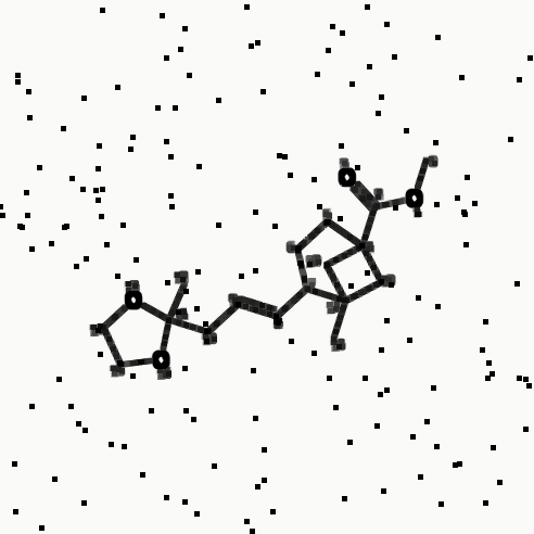 COC(=O)C12CCC(/C=C/CC3(C)OCCO3)C(C)(C1)C2